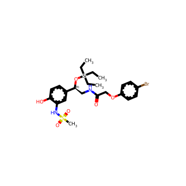 CC[Si](CC)(CC)O[C@@H](CNC(=O)COc1ccc(Br)cc1)c1ccc(O)c(NS(C)(=O)=O)c1